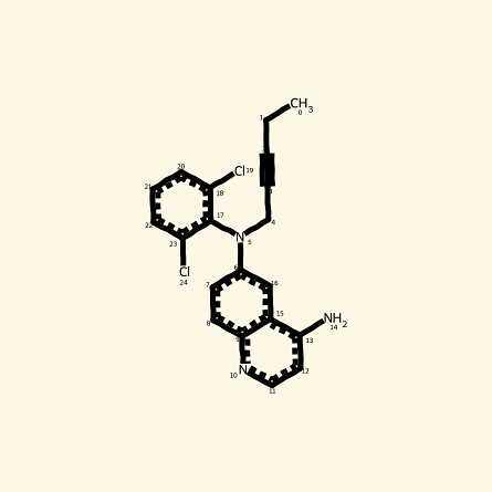 CCC#CCN(c1ccc2nccc(N)c2c1)c1c(Cl)cccc1Cl